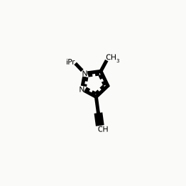 C#Cc1cc(C)n(C(C)C)n1